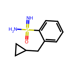 N=S(N)(=O)c1ccccc1CC1CC1